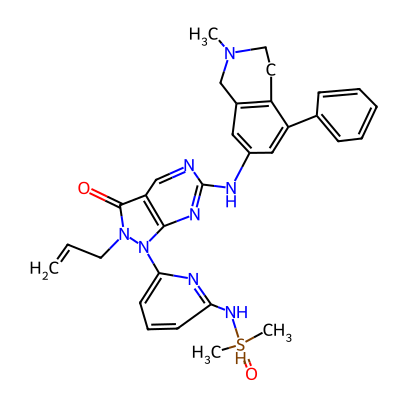 C=CCn1c(=O)c2cnc(Nc3cc4c(c(-c5ccccc5)c3)CCN(C)C4)nc2n1-c1cccc(N[SH](C)(C)=O)n1